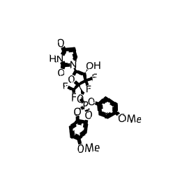 COc1ccc(OP(=O)(OC[C@@]2(C(F)F)O[C@@H](n3ccc(=O)[nH]c3=O)[C@H](O)C2(F)F)Oc2ccc(OC)cc2)cc1